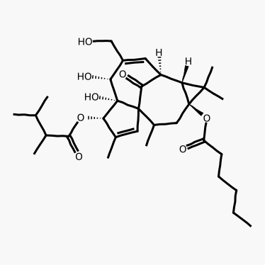 CCCCCC(=O)O[C@@]12CC(C)C34C=C(C)[C@H](OC(=O)C(C)C(C)C)[C@@]3(O)[C@H](O)C(CO)=C[C@H](C4=O)[C@@H]1C2(C)C